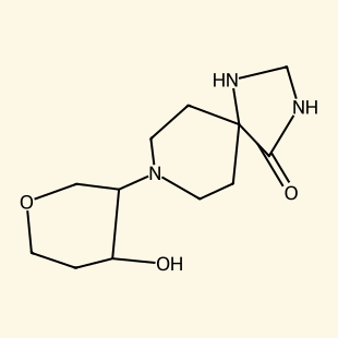 O=C1NCNC12CCN(C1COCCC1O)CC2